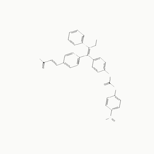 CCC(=C(c1ccc(C=CC(=O)O)cc1)c1ccc(OC(=O)Oc2ccc([N+](=O)[O-])cc2)cc1)c1ccccc1